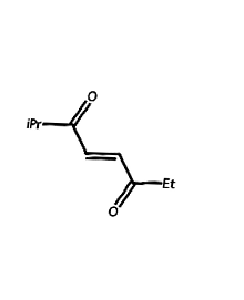 CCC(=O)C=CC(=O)C(C)C